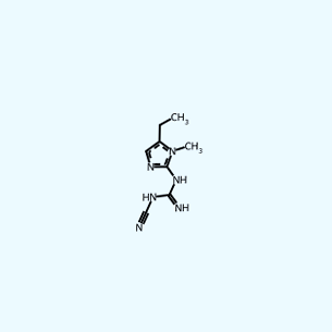 CCc1cnc(NC(=N)NC#N)n1C